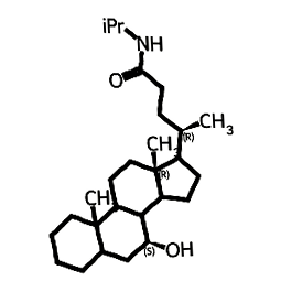 CC(C)NC(=O)CC[C@@H](C)C1CCC2C3C(CC[C@@]21C)C1(C)CCCCC1C[C@@H]3O